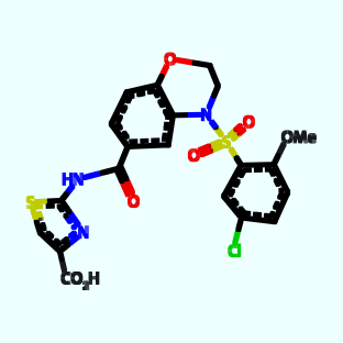 COc1ccc(Cl)cc1S(=O)(=O)N1CCOc2ccc(C(=O)Nc3nc(C(=O)O)cs3)cc21